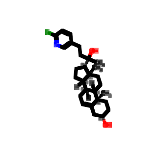 CC(O)(CCc1ccc(F)nc1)[C@H]1CC[C@H]2[C@@H]3CC=C4C[C@@H](O)CC[C@]4(C)[C@H]3CC[C@]12C